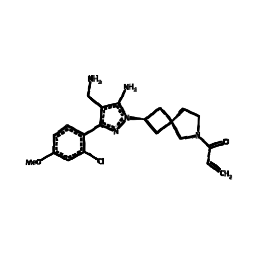 C=CC(=O)N1CC[C@]2(C1)C[C@H](n1nc(-c3ccc(OC)cc3Cl)c(CN)c1N)C2